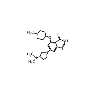 CN1CCC(Oc2cc(N3CC[C@@H](N(C)C)C3)cc3nc[nH]c(=O)c23)CC1